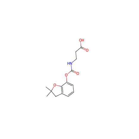 CC1(C)Cc2cccc(OC(=O)NCCC(=O)O)c2O1